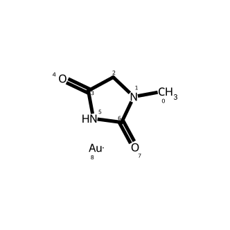 CN1CC(=O)NC1=O.[Au]